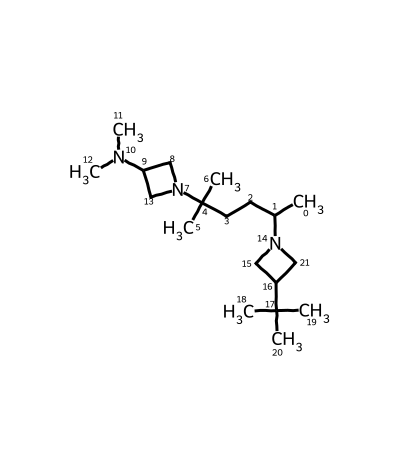 CC(CCC(C)(C)N1CC(N(C)C)C1)N1CC(C(C)(C)C)C1